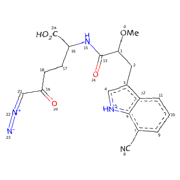 COC(Cc1c[nH]c2c(C#N)cccc12)C(=O)NC(CCC(=O)C=[N+]=[N-])C(=O)O